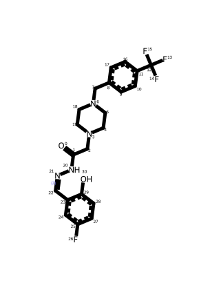 O=C(CN1CCN(Cc2ccc(C(F)(F)F)cc2)CC1)N/N=C\c1cc(F)ccc1O